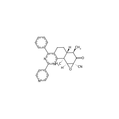 C[C@H]1C(=O)[C@@]2(C#N)O[C@H]2[C@@]2(C)c3nc(-c4ccncc4)nc(-c4ccccc4)c3CC[C@H]12